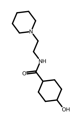 O=C(NCCN1CCCCC1)C1CCC(O)CC1